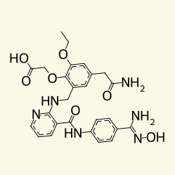 CCOc1cc(CC(N)=O)cc(CNc2ncccc2C(=O)Nc2ccc(/C(N)=N/O)cc2)c1OCC(=O)O